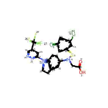 O=C(O)CN(Sc1cc(Cl)cc(Cl)c1)c1ccc2c(ccn2-c2cc(C(F)(F)F)cnn2)c1